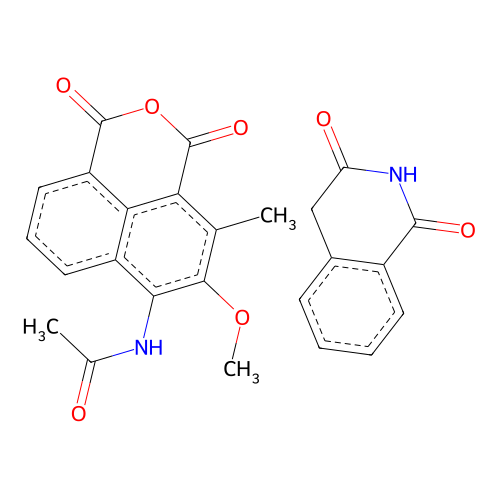 COc1c(C)c2c3c(cccc3c1NC(C)=O)C(=O)OC2=O.O=C1Cc2ccccc2C(=O)N1